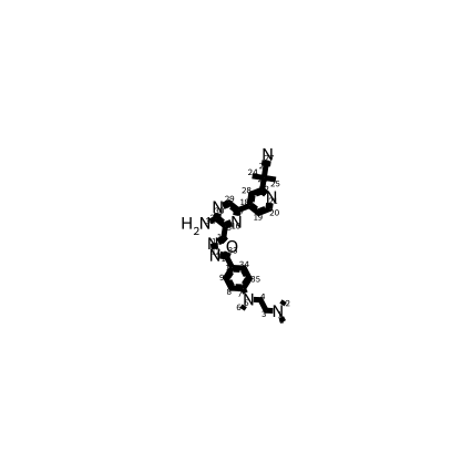 CN(C)CCN(C)c1ccc(-c2nnc(-c3nc(-c4ccnc(C(C)(C)C#N)c4)cnc3N)o2)cc1